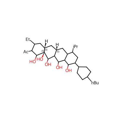 CCCCC1CCC(C2CC(C(C)C)C3C[C@H]4C[C@H]5CC(CC)C(C(C)=O)C(O)[C@@]5(O)C(O)C4C(O)C3C2O)CC1